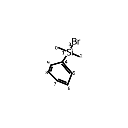 C[Si](C)(Br)c1ccccc1